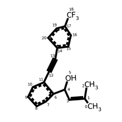 CC(C)=CC(O)c1ccccc1C#Cc1ccc(C(F)(F)F)cc1